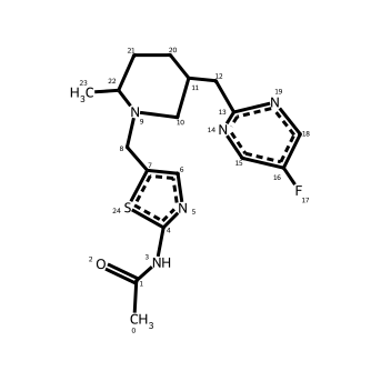 CC(=O)Nc1ncc(CN2CC(Cc3ncc(F)cn3)CCC2C)s1